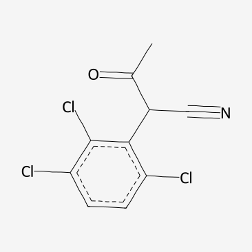 CC(=O)C(C#N)c1c(Cl)ccc(Cl)c1Cl